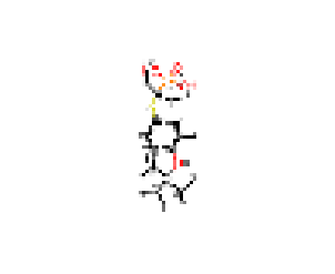 CCC(CC)(Sc1cc(C)c(O[Si](C(C)C)(C(C)C)C(C)C)c(C)c1)P(=O)(O)O